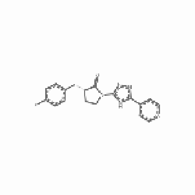 O=C1[C@@H](Cc2ccc(F)cc2)CCN1c1nnc(-c2ccncc2)[nH]1